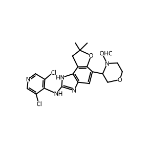 CC1(C)Cc2c(c(C3COCCN3C=O)cc3nc(Nc4c(Cl)cncc4Cl)[nH]c23)O1